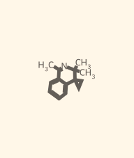 CC1=NC(C)(C)C2(CC2)c2ccccc21